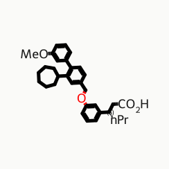 CCC[C@@H](CC(=O)O)c1cccc(OCc2ccc(-c3cccc(OC)c3)c(C3CCCCCC3)c2)c1